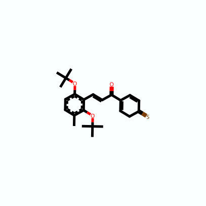 Cc1ccc(OC(C)(C)C)c(C=CC(=O)C2=CCC(=S)C=C2)c1OC(C)(C)C